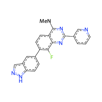 CNc1nc(-c2cccnc2)nc2c(F)c(-c3ccc4[nH]ncc4c3)ccc12